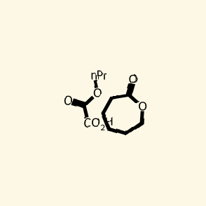 CCCOC(=O)C(=O)O.O=C1CCCCCO1